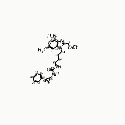 CCOCc1nc2c(N)nc(C)cc2n1CCCCNC(=O)N[C@@H]1C[C@H]1c1ccccc1